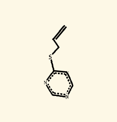 C=CCSc1[c]cncn1